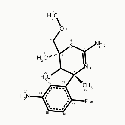 COC[C@@]1(C)SC(N)=N[C@](C)(c2cc(N)ccc2F)C1C